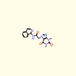 Cn1c(=O)c2c(ncn2CC(=O)Nc2nccc3ccccc23)n(C)c1=O